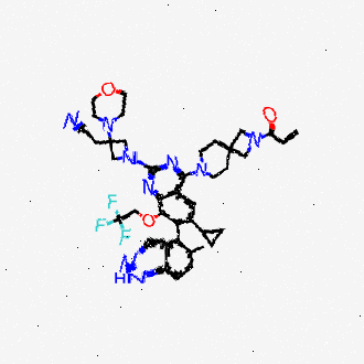 C=CC(=O)N1CC2(CCN(c3nc(N4CC(CC#N)(N5CCOCC5)C4)nc4c(OCC(F)(F)F)c(-c5c(C)ccc6[nH]ncc56)c(C5CC5)cc34)CC2)C1